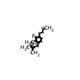 C=C1C(Cc2ccc(CCCC)c(F)c2C)C1(C)C